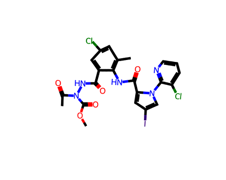 COC(=O)N(NC(=O)c1cc(Cl)cc(C)c1NC(=O)c1cc(I)cn1-c1ncccc1Cl)C(C)=O